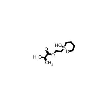 C=C(C)C(=O)OCC[Si]1(O)CCCCO1